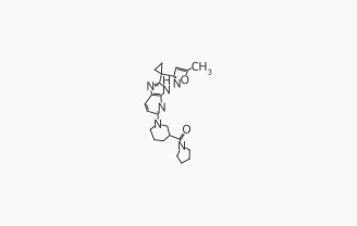 Cc1cc(C2(c3nc4ccc(N5CCCC(C(=O)N6CCCC6)C5)nc4[nH]3)CC2)no1